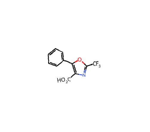 O=C(O)c1nc(C(F)(F)F)oc1-c1ccccc1